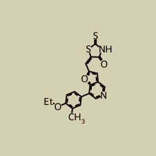 CCOc1ccc(-c2cncc3cc(/C=C4/SC(=S)NC4=O)oc23)cc1C